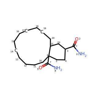 NC(=O)C1CCC2(C(N)=O)CCCCCCCCCCCC2C1